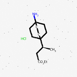 CCOC(=O)C[C@H](C)C12CCC(N)(CC1)CC2.Cl